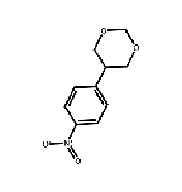 O=[N+]([O-])c1ccc([C]2COCOC2)cc1